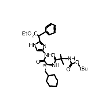 CCOC(=O)C(c1ccccc1)c1nc(NC(=O)[C@@H](CC2CCCCC2)NC(=O)C(C)(C)NC(=O)OC(C)(C)C)c[nH]1